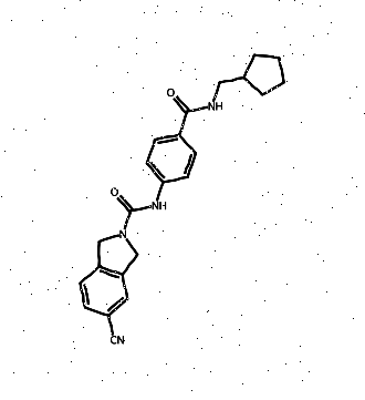 N#Cc1ccc2c(c1)CN(C(=O)Nc1ccc(C(=O)NCC3CCCC3)cc1)C2